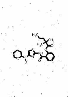 CCCC(C)(C)C(=O)Oc1ccccc1C(=O)Nc1nc([S+]([O-])C2CCCCO2)cs1